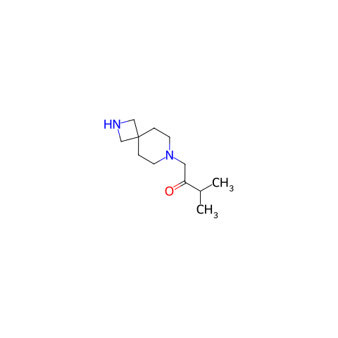 CC(C)C(=O)CN1CCC2(CC1)CNC2